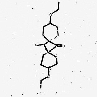 CCOC1CC[C@]2(CC1)C(=O)[C@@]1(CCC(OCC)CC1)C2F